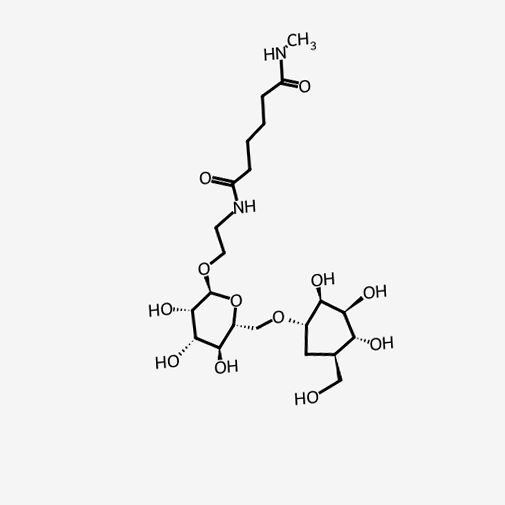 CNC(=O)CCCCC(=O)NCCO[C@H]1O[C@H](CO[C@H]2C[C@H](CO)[C@@H](O)[C@H](O)[C@@H]2O)[C@@H](O)[C@H](O)[C@@H]1O